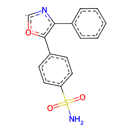 NS(=O)(=O)c1ccc(-c2o[c]nc2-c2ccccc2)cc1